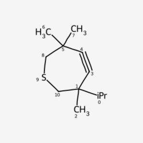 CC(C)C1(C)C#CC(C)(C)CSC1